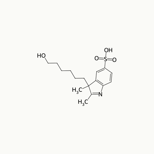 CC1=Nc2ccc(S(=O)(=O)O)cc2C1(C)CCCCCCO